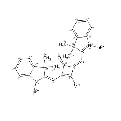 CCCN1/C(=C/C2=C(O)C(=C/C3=[N+](CCC)c4ccccc4C3(C)C)/C2=O)C(C)(C)c2ccccc21